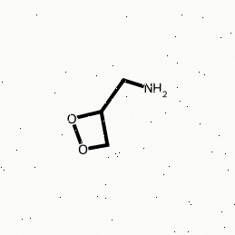 NCC1COO1